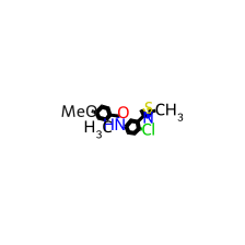 COc1ccc(C(=O)Nc2ccc(Cl)c(-c3csc(C)n3)c2)c(C)c1